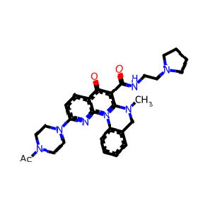 CC(=O)N1CCN(c2ccc3c(=O)c(C(=O)NCCN4CCCC4)c4n(c3n2)-c2ccccc2CN4C)CC1